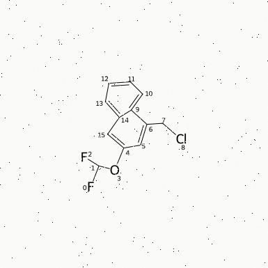 FC(F)Oc1cc(CCl)c2ccccc2c1